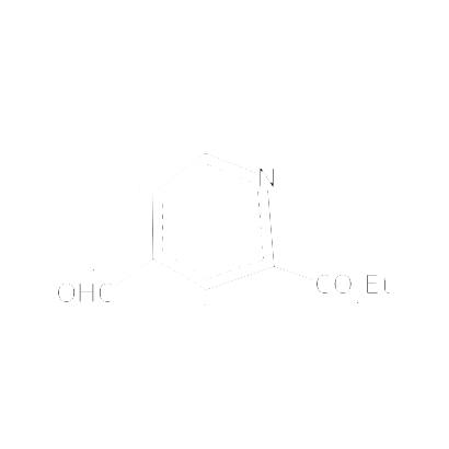 CCOC(=O)c1cc(C=O)ccn1